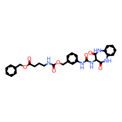 O=C(Nc1cccc(COC(=O)NCCCC(=O)OCc2ccccc2)c1)NC1C(=O)Nc2ccccc2NC1=O